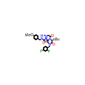 CCCC[C@H]1C(=O)N(Cc2ccc(F)cc2F)C[C@H]2N1C(=O)CN(C)N2C(=O)NCc1ccc(OC)cc1